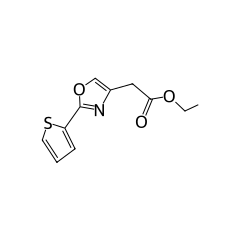 CCOC(=O)Cc1coc(-c2cccs2)n1